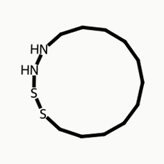 C1CCCCCNNSSCCCCC1